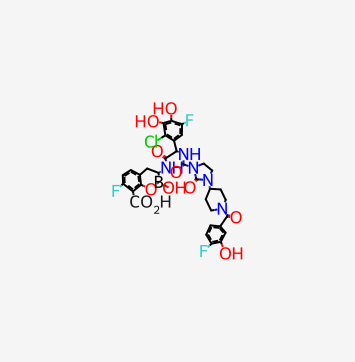 O=C(O)c1c(F)ccc2c1OB(O)[C@@H](NC(=O)[C@H](NC(=O)N1CCN(C3CCN(C(=O)c4ccc(F)c(O)c4)CC3)C1=O)c1cc(F)c(O)c(O)c1Cl)C2